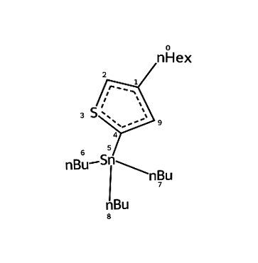 CCCCCCc1cs[c]([Sn]([CH2]CCC)([CH2]CCC)[CH2]CCC)c1